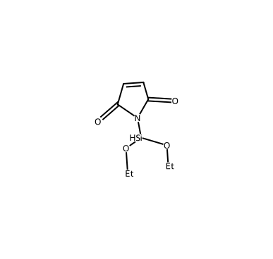 CCO[SiH](OCC)N1C(=O)C=CC1=O